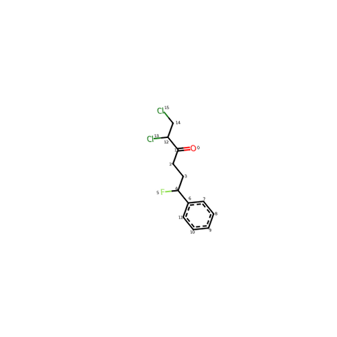 O=C(CCC(F)c1ccccc1)C(Cl)CCl